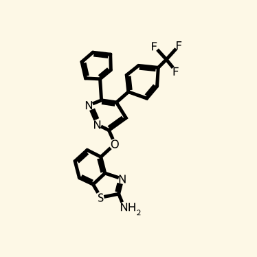 Nc1nc2c(Oc3cc(-c4ccc(C(F)(F)F)cc4)c(-c4ccccc4)nn3)cccc2s1